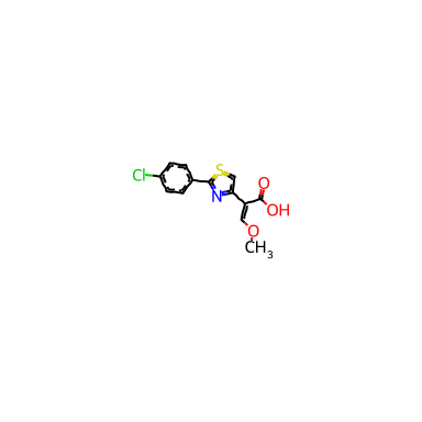 COC=C(C(=O)O)c1csc(-c2ccc(Cl)cc2)n1